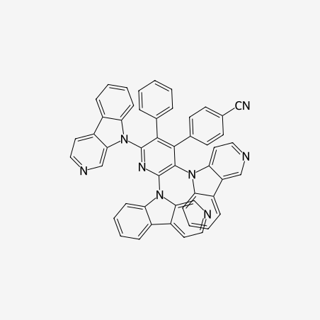 N#Cc1ccc(-c2c(-c3ccccc3)c(-n3c4ccccc4c4ccncc43)nc(-n3c4ccccc4c4ccncc43)c2-n2c3ccccc3c3cnccc32)cc1